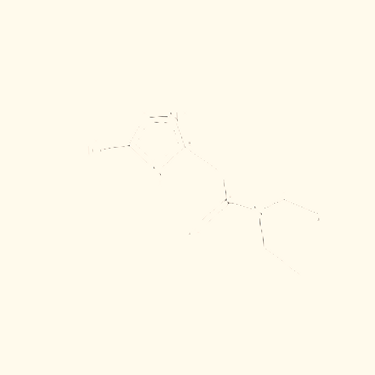 CCN(CC)C(=O)Sc1nsc(O)n1